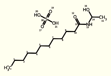 CCCCCCCCCCCC(=O)NC(C)O.O=S(=O)(O)O